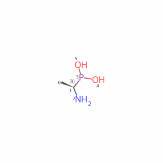 C[C@H](N)P(O)O